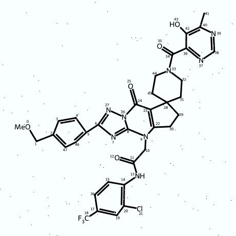 COCc1ccc(-c2nc3n(CC(=O)Nc4ccc(C(F)(F)F)cc4Cl)c4c(c(=O)n3n2)C2(CC4)CCN(C(=O)c3ncnc(C)c3O)CC2)cc1